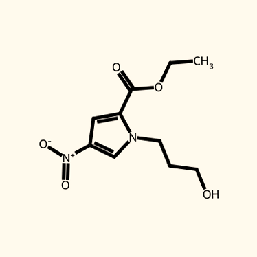 CCOC(=O)c1cc([N+](=O)[O-])cn1CCCO